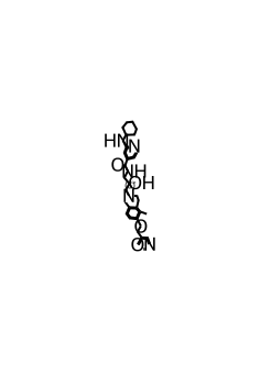 Cc1c(OCc2cnco2)ccc2c1CCN(C[C@@H](O)CNC(=O)c1ccnc(NC3CCCCC3)c1)C2